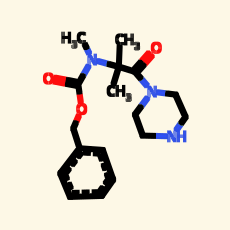 CN(C(=O)OCc1ccccc1)C(C)(C)C(=O)N1CCNCC1